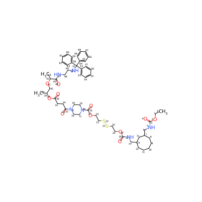 CCOC(=O)NCC1CCCCCC(CNC(=O)OCCSSCCOC(=O)N2CCN(C(=O)CCC(=O)OC(C)COC(C)C(=O)NCCNC(c3ccccc3)(c3ccccc3)c3ccccc3)CC2)C1